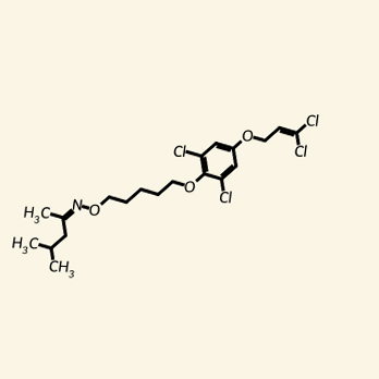 CC(CC(C)C)=NOCCCCCOc1c(Cl)cc(OCC=C(Cl)Cl)cc1Cl